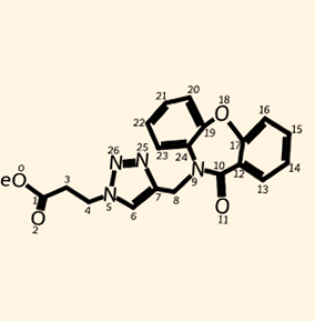 COC(=O)CCn1cc(CN2C(=O)c3ccccc3Oc3ccccc32)nn1